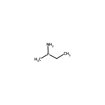 CCP(C)N